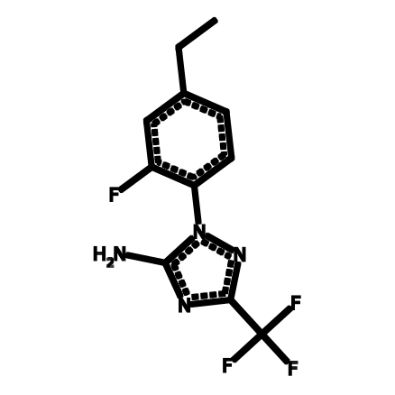 CCc1ccc(-n2nc(C(F)(F)F)nc2N)c(F)c1